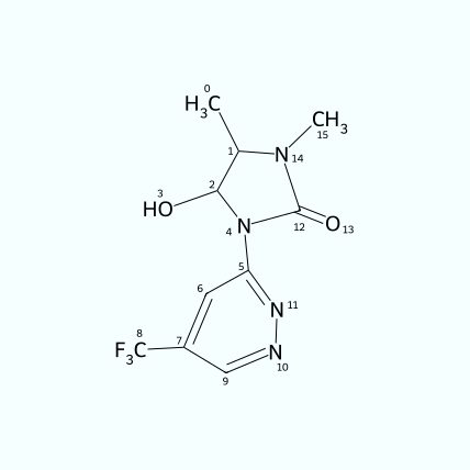 CC1C(O)N(c2cc(C(F)(F)F)cnn2)C(=O)N1C